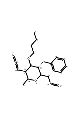 CCCCOC1[C@H](Cc2ccccc2)C(CN=O)OC(C)[C@H]1N=[N+]=[N-]